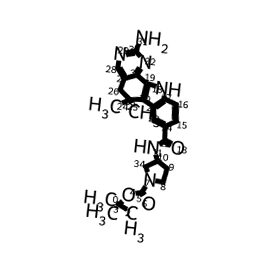 CC(C)(C)OC(=O)N1CCC(NC(=O)c2ccc3[nH]c4c(c3c2)C(C)(C)Cc2cnc(N)nc2-4)C1